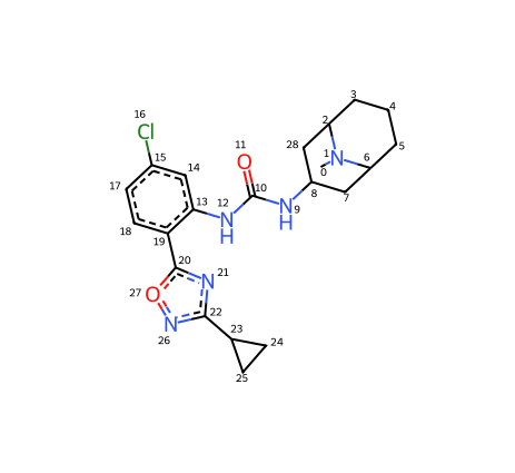 CN1C2CCCC1CC(NC(=O)Nc1cc(Cl)ccc1-c1nc(C3CC3)no1)C2